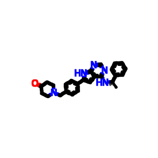 C[C@@H](Nc1ncnc2[nH]c(-c3ccc(CN4CCC(=O)CC4)cc3)cc12)c1ccccc1